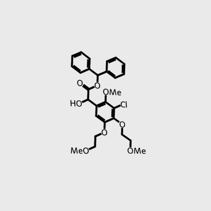 COCCOc1cc(C(O)C(=O)OC(c2ccccc2)c2ccccc2)c(OC)c(Cl)c1OCCOC